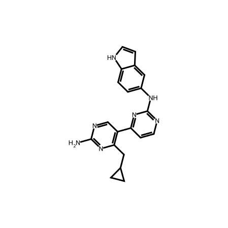 Nc1ncc(-c2ccnc(Nc3ccc4[nH]ccc4c3)n2)c(CC2CC2)n1